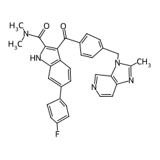 Cc1nc2ccncc2n1Cc1ccc(C(=O)c2c(C(=O)N(C)C)[nH]c3cc(-c4ccc(F)cc4)ccc23)cc1